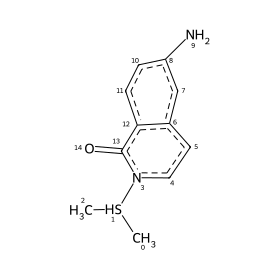 C[SH](C)n1ccc2cc(N)ccc2c1=O